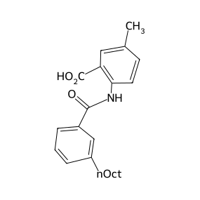 CCCCCCCCc1cccc(C(=O)Nc2ccc(C)cc2C(=O)O)c1